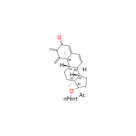 C=C1C(=C)[C@@]2(C)C(=CC1=O)C=C[C@@H]1[C@@H]2CC[C@@]2(C)[C@H]1CC[C@]2(OCCCCC)C(C)=O